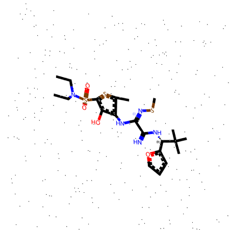 CCN(CC)S(=O)(=O)c1sc(C)c(N/C(=N/SC)C(=N)N[C@@H](c2ccco2)C(C)(C)C)c1O